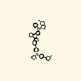 CC1C=CC2=C(C1)C(N(c1ccccc1)c1ccc3c(c1)c1ccccc1c1c4ccc(-c5ccc(N(c6ccc(C7=CCCC(C)C7)cc6)C6C=CC=CC6)cc5)cc4sc31)CC=C2